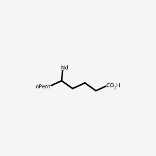 CCCCC[CH]([Nd])CCCC(=O)O